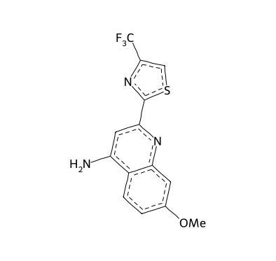 COc1ccc2c(N)cc(-c3nc(C(F)(F)F)cs3)nc2c1